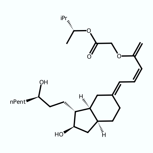 C=C(/C=C\C=C1/CC[C@H]2C[C@@H](O)[C@H](CC[C@H](O)CCCCC)[C@H]2C1)OCC(=O)O[C@H](C)C(C)C